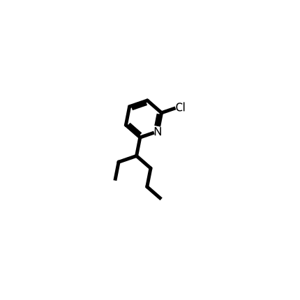 CCCC(CC)c1cccc(Cl)n1